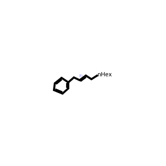 CCCCCCC/C=C/Cc1ccccc1